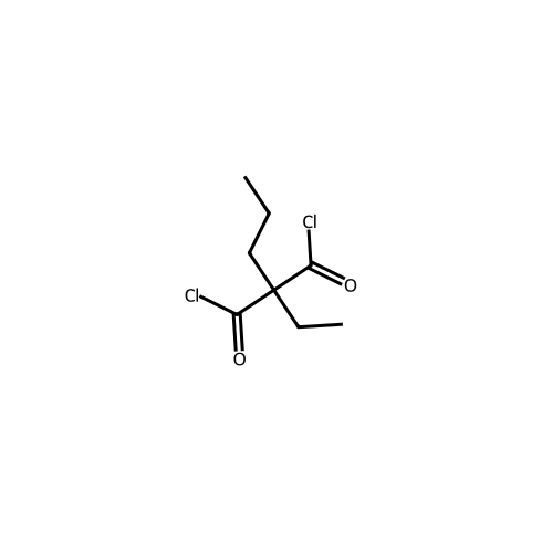 CCCC(CC)(C(=O)Cl)C(=O)Cl